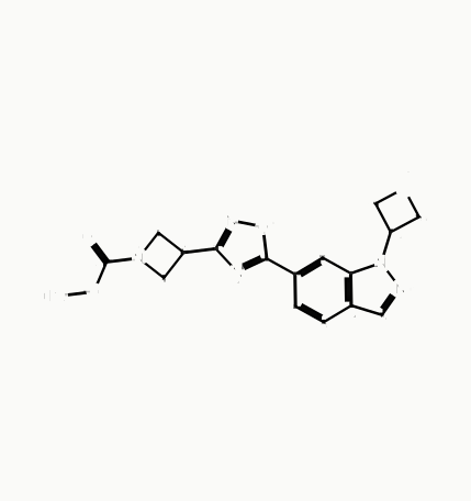 CC(C)(C)OC(=O)N1CC(c2noc(-c3ccc4cnn(C5COC5)c4c3)n2)C1